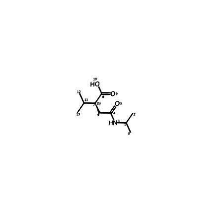 CC(C)NC(=O)C[C@H](C(=O)O)C(C)C